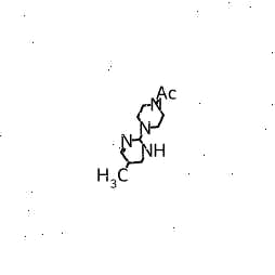 CC(=O)N1CCN(C2N=CC(C)CN2)CC1